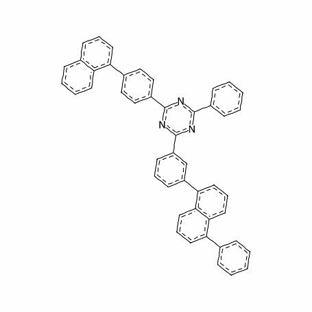 c1ccc(-c2nc(-c3ccc(-c4cccc5ccccc45)cc3)nc(-c3cccc(-c4cccc5c(-c6ccccc6)cccc45)c3)n2)cc1